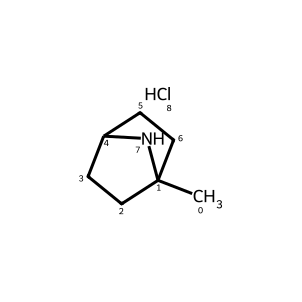 CC12CCC(CC1)N2.Cl